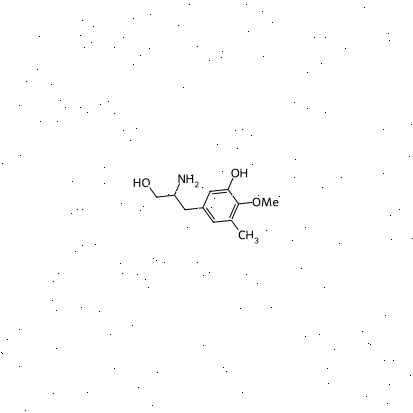 COc1c(C)cc(CC(N)CO)cc1O